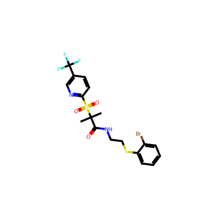 CC(C)(C(=O)NCCSc1ccccc1Br)S(=O)(=O)c1ccc(C(F)(F)F)cn1